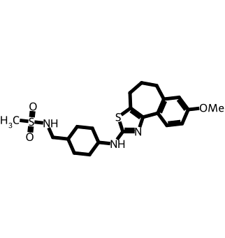 COc1ccc2c(c1)CCCc1sc(NC3CCC(CNS(C)(=O)=O)CC3)nc1-2